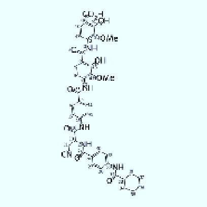 COc1c(NC(=O)c2ccc(NC(=O)c3ccc(NC(=O)C(CC#N)NC(=O)c4ccc(NC(=O)C5CCCCC5)cc4)cc3)c(OC)c2O)ccc(C(=O)O)c1O